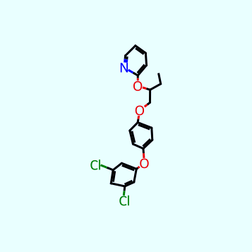 CCC(COc1ccc(Oc2cc(Cl)cc(Cl)c2)cc1)Oc1ccccn1